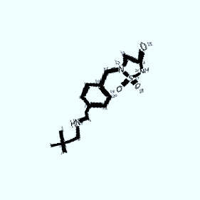 CC(C)(C)CNCc1ccc(CN2CC(=O)NS2(=O)=O)cc1